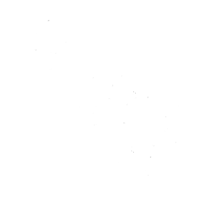 Cc1ccc(C2C[C@@H]2C(=O)N=O)cc1NC(=O)c1c(C)cc(OCCC2=CCCCC2)cc1C